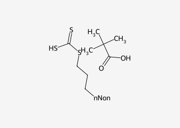 CC(C)(C)C(=O)O.CCCCCCCCCCCCSC(=S)S